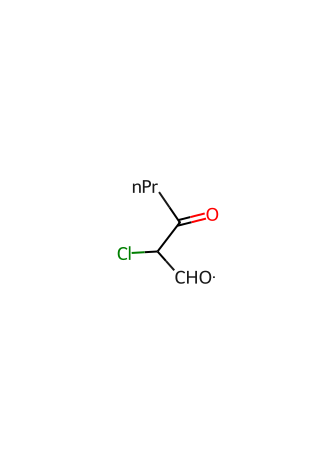 CCCC(=O)C(Cl)[C]=O